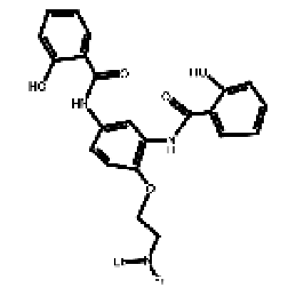 CCN(CC)CCOc1ccc(NC(=O)c2ccccc2O)cc1NC(=O)c1ccccc1O